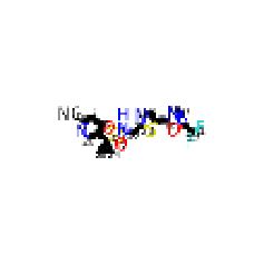 N#Cc1ccc(C2(S(=O)(=O)NCc3ncc(-c4nnc(C(F)F)o4)s3)CC2)cn1